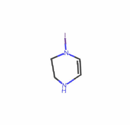 IN1C=CNCC1